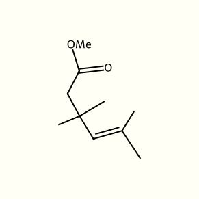 COC(=O)CC(C)(C)C=C(C)C